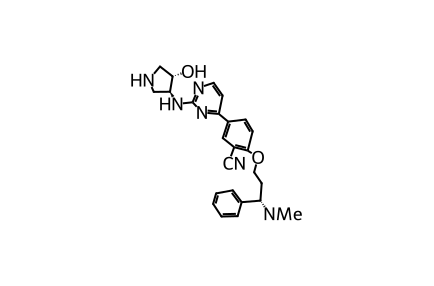 CN[C@@H](CCOc1ccc(-c2ccnc(N[C@H]3CNC[C@@H]3O)n2)cc1C#N)c1ccccc1